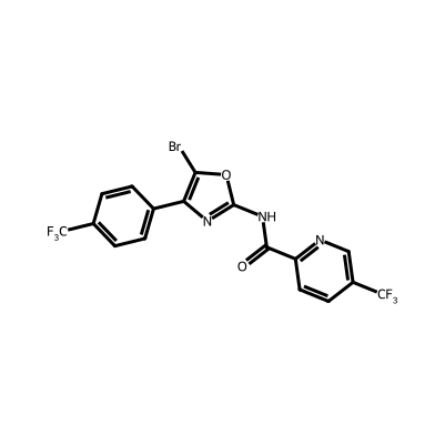 O=C(Nc1nc(-c2ccc(C(F)(F)F)cc2)c(Br)o1)c1ccc(C(F)(F)F)cn1